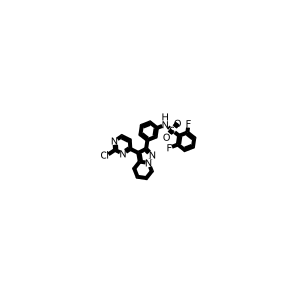 O=S(=O)(Nc1cccc(-c2nn3c(c2-c2ccnc(Cl)n2)CCCC3)c1)c1c(F)cccc1F